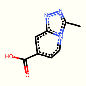 Cc1nnc2cc(C(=O)O)ccn12